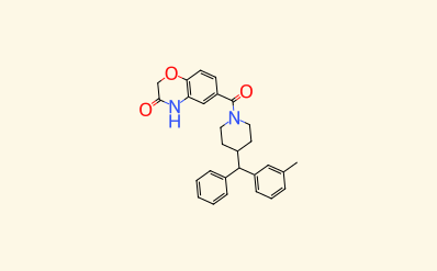 Cc1cccc(C(c2ccccc2)C2CCN(C(=O)c3ccc4c(c3)NC(=O)CO4)CC2)c1